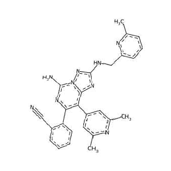 Cc1cc(-c2c(-c3ccccc3C#N)nc(N)n3nc(NCc4cccc(C)n4)nc23)cc(C)n1